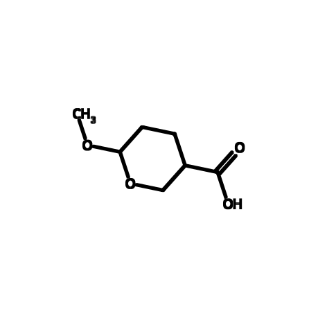 COC1CCC(C(=O)O)CO1